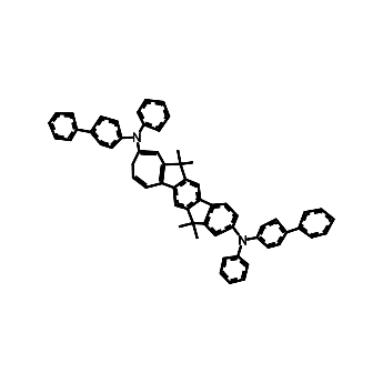 CC1(C)C2=C(C=CCC(N(c3ccccc3)c3ccc(-c4ccccc4)cc3)=C2)c2cc3c(cc21)-c1ccc(N(c2ccccc2)c2ccc(-c4ccccc4)cc2)cc1C3(C)C